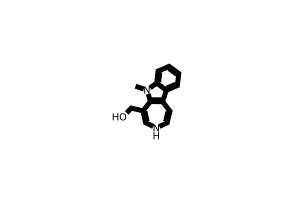 Cn1c2c(c3ccccc31)C=CNC=C2CO